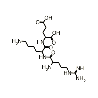 N=C(N)NCCCC(N)C(=O)NC(CCCCN)C(=O)NC(CCC(=O)O)C(=O)O